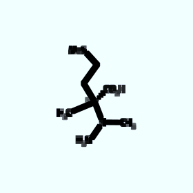 CSCC[C@@](C)(C(=O)O)N(C)[SiH3]